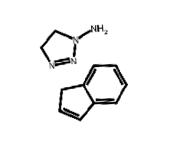 C1=Cc2ccccc2C1.NN1CCN=N1